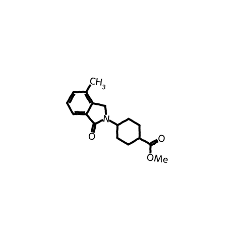 COC(=O)C1CCC(N2Cc3c(C)cccc3C2=O)CC1